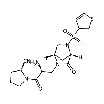 N#C[C@@H]1CCCN1C(=O)[C@@H](N)CN1C(=O)[C@@H]2C[C@H]1CN2S(=O)(=O)C1C=CSC1